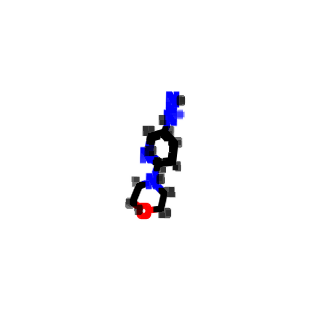 N#[N+]c1ccc(N2CCOCC2)nc1